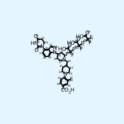 O=C(O)C(F)(F)F.O=C(O)C(F)(F)F.O=C(O)C(F)(F)F.O=C1CCN(c2cccc3c2cnn3C2CCN(CC3CCN(c4ccc(C(=O)O)cc4F)CC3)CC2)C(=O)N1